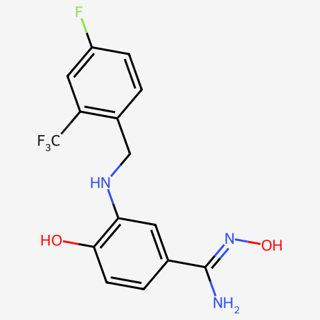 NC(=NO)c1ccc(O)c(NCc2ccc(F)cc2C(F)(F)F)c1